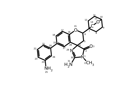 CN1C(=O)C2(CC(C34CCC(CC3)OC4)Oc3ccc(-c4cccc(N)c4)cc32)N=C1N